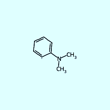 CN(C)c1[c]cccc1